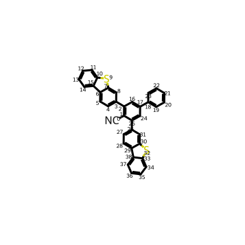 N#Cc1c(-c2ccc3c(c2)sc2ccccc23)cc(-c2ccccc2)cc1-c1ccc2c(c1)sc1ccccc12